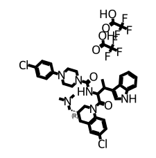 CC(c1c[nH]c2ccccc12)C(NC(=O)N1CCN(c2ccc(Cl)cc2)CC1)C(=O)N1C[C@@H](CN(C)C)Cc2cc(Cl)ccc21.O=C(O)C(F)(F)F.O=C(O)C(F)(F)F